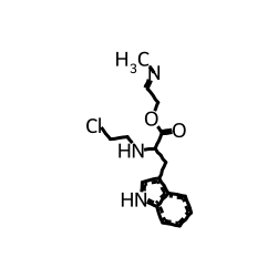 CN=CCOC(=O)C(Cc1c[nH]c2ccccc12)NCCCl